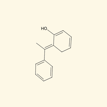 CC(=C1CC=CC=C1O)c1ccccc1